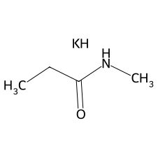 CCC(=O)NC.[KH]